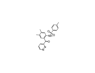 Cc1ccc(S(=O)(=O)Nc2cc(C)c(C)cc2C(=O)c2cccnn2)cc1